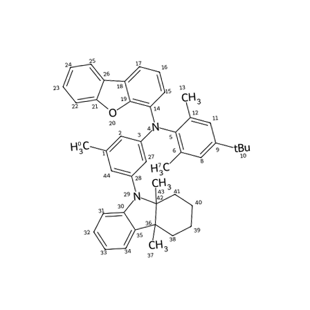 Cc1cc(N(c2c(C)cc(C(C)(C)C)cc2C)c2cccc3c2oc2ccccc23)cc(N2c3ccccc3C3(C)CCCCC23C)c1